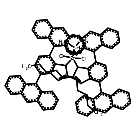 CCCCCC1=Cc2c(-c3c4ccccc4cc4ccccc34)ccc(-c3c4ccccc4cc4ccccc34)c2[CH]1[Zr]([Cl])([Cl])([CH]1C(CCCCC)=Cc2c(-c3c4ccccc4cc4ccccc34)ccc(-c3c4ccccc4cc4ccccc34)c21)[SiH](C)C